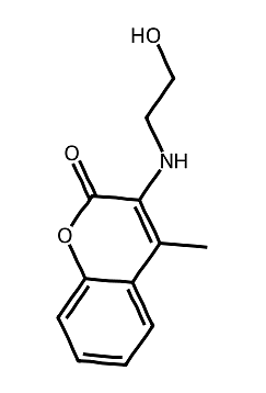 Cc1c(NCCO)c(=O)oc2ccccc12